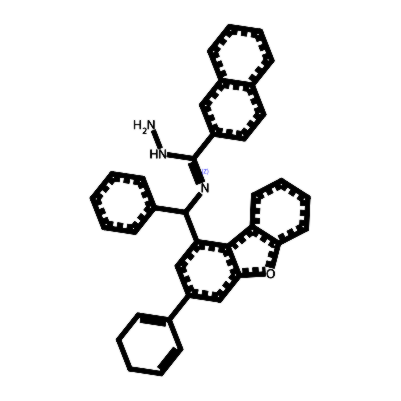 NN/C(=N\C(c1ccccc1)c1cc(C2=CCCC=C2)cc2oc3ccccc3c12)c1ccc2ccccc2c1